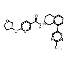 Cc1ncc(-c2cccc3c2C[C@H](NC(=O)c2ccc(OC4CCOC4)nc2)CC3)cn1